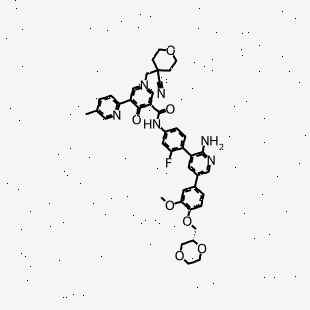 COc1cc(-c2cnc(N)c(-c3ccc(NC(=O)c4cn(CC5(C#N)CCOCC5)cc(-c5ccc(C)cn5)c4=O)cc3F)c2)ccc1OC[C@H]1COCCO1